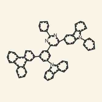 c1ccc(-c2nc(-c3cc(-c4ccc5c6ccccc6c6ccccc6c5c4)cc(-n4c5ccccc5c5ccccc54)c3)cc(-c3ccc4c(c3)c3ccccc3n4-c3ccccc3)n2)cc1